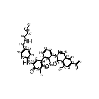 C=C(C)c1cc(F)c2c(=O)n(-c3cccc(-c4cc(Nc5ccc(CNCCOC)cn5)c(=O)n(C)c4)c3CO)ncc2c1